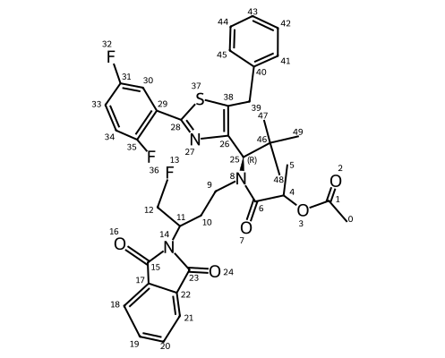 CC(=O)OC(C)C(=O)N(CCC(CF)N1C(=O)c2ccccc2C1=O)[C@@H](c1nc(-c2cc(F)ccc2F)sc1Cc1ccccc1)C(C)(C)C